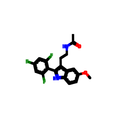 COc1ccc2[nH]c(-c3c(F)cc(F)cc3F)c(CCNC(C)=O)c2c1